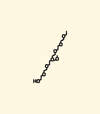 CCOCCOCCOCCOCCOCCOCCO.COC